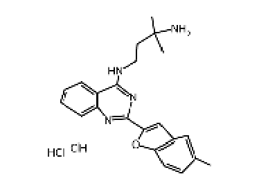 Cc1ccc2oc(-c3nc(NCCC(C)(C)N)c4ccccc4n3)cc2c1.Cl.Cl